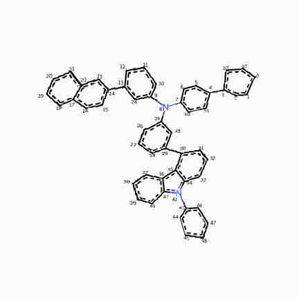 c1ccc(-c2ccc(N(c3cccc(-c4ccc5ccccc5c4)c3)c3cccc(-c4cccc5c4c4ccccc4n5-c4ccccc4)c3)cc2)cc1